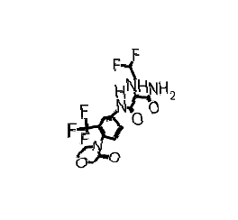 NC(=O)[C@H](NCC(F)F)C(=O)Nc1ccc(N2CCOCC2=O)c(C(F)(F)F)c1